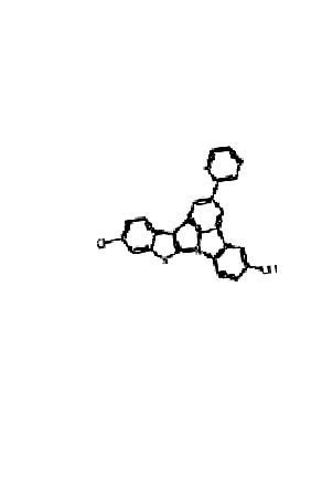 Oc1ccc2c(c1)c1cc(-c3ccccc3)cc3c4c5ccc(Cl)cc5sc4n2c13